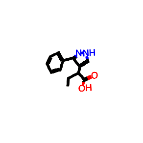 CCC(C(=O)O)c1c[nH]nc1-c1ccccc1